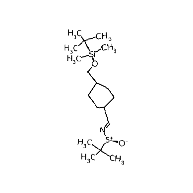 CC(C)(C)[S@+]([O-])/N=C/C1CCC(CO[Si](C)(C)C(C)(C)C)CC1